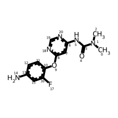 CN(C)C(=O)Nc1cc(Oc2ccc(N)cc2F)ncn1